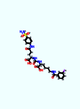 NS(=O)(=O)c1ccc(NC(=O)CC[C@H](NC(=O)N[C@@H](CCCCNC(=O)c2cccc(I)c2)C(=O)O)C(=O)O)cc1